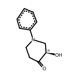 O=C1CCN(c2ccccc2)C[C@H]1O